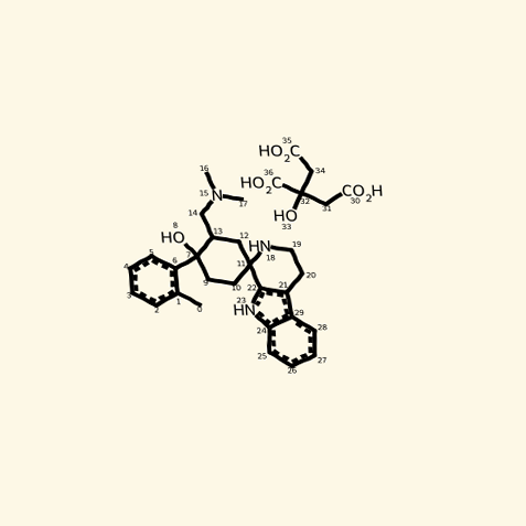 Cc1ccccc1C1(O)CCC2(CC1CN(C)C)NCCc1c2[nH]c2ccccc12.O=C(O)CC(O)(CC(=O)O)C(=O)O